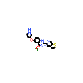 Cl.O=c1[nH]c(-c2cc3ccsc3cn2)nc2ccc(OC3CCNC3)cc12